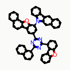 c1ccc2cc3c(cc2c1)c1ccccc1n3-c1cc(-c2nc(-c3cccc4ccccc34)nc(-c3cccc4oc5ccccc5c34)n2)cc2c1oc1c3ccccc3ccc21